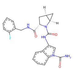 NC(=O)n1cc(NC(=O)N2[C@@H]3C[C@@H]3C[C@H]2C(=O)NCc2ccccc2F)c2ccccc21